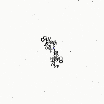 CN[C@@H](C)C(=O)C[C@H](C(=O)N[C@@H](Cc1cn(C/C=C\Cn2cc(C[C@H](NC(C)C(NC(=O)[C@H](C)NC)C(C)(C)C)C(=O)N[C@@H]3CCCc4ccccc43)nn2)nn1)C(=O)N[C@@H]1CCCc2ccccc21)C(C)(C)C